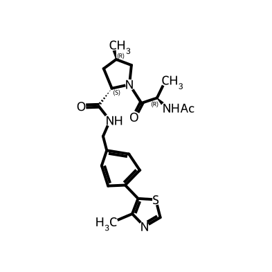 CC(=O)N[C@H](C)C(=O)N1C[C@H](C)C[C@H]1C(=O)NCc1ccc(-c2scnc2C)cc1